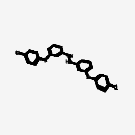 Clc1ccc(Sc2cccc(NNc3cccc(Sc4ccc(Cl)cc4)c3)c2)cc1